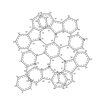 c1ccc(-c2cccc(-c3c(-n4c5ccccc5c5ccccc54)c(-n4c5ccccc5c5ccccc54)c(-c4ccncc4)c(-n4c5ccccc5c5ccccc54)c3-n3c4ccccc4c4ccccc43)n2)cc1